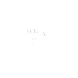 N.[Ag+].[Ag+].[O-2]